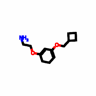 NCCOC1=CC(OCC2CCC2)=CCC1